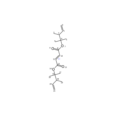 C=CC(C)C(C)(C)OC(=O)/C=C/C(=O)OC(C)(C)C(C)C=C